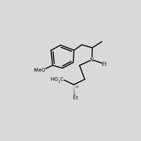 CC[C@@H](CCN(CC)C(C)Cc1ccc(OC)cc1)C(=O)O